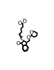 COC(=O)CCC/C=C\CC1C(=O)c2ccccc2C1COC1CCCCO1